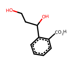 O=C(O)c1ccccc1C(O)CCO